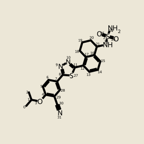 CC(C)Oc1ccc(-c2nnc(-c3cccc4c3CCCC4NS(N)(=O)=O)s2)cc1C#N